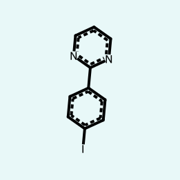 Ic1ccc(-c2ncccn2)cc1